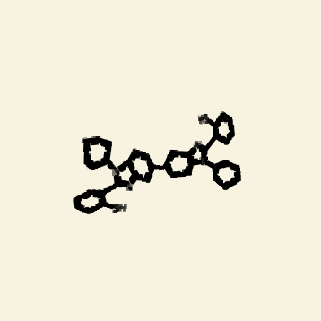 Sc1ccccc1-c1nc2cc(-c3ccc4c(c3)nc(-c3ccccc3S)n4-c3ccccc3)ccc2n1-c1ccccc1